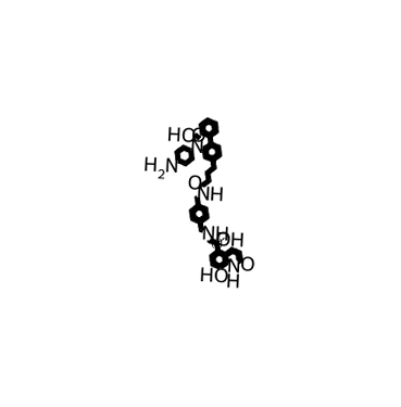 NC1CCC(N(C(=O)O)c2cc(CCCC(=O)NCc3ccc(CNC[C@H](O)c4ccc(O)c5[nH]c(=O)ccc45)cc3)ccc2-c2ccccc2)CC1